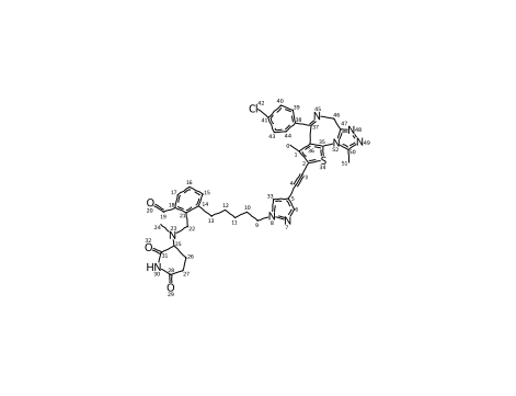 Cc1c(C#Cc2cnn(CCCCCc3cccc(C=O)c3CN(C)C3CCC(=O)NC3=O)c2)sc2c1C(c1ccc(Cl)cc1)=NCc1nnc(C)n1-2